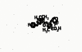 C[C@@H]1CN(CC(=O)N2CC(C)(C)c3ncc(Cc4ccc(F)cc4)cc32)[C@@H](CN2CCOCC(F)(F)C2)CN1C(=O)O